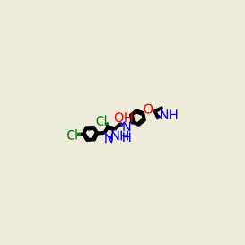 OC(Nc1ccc(OC2CNC2)cc1)c1[nH]nc(-c2ccc(Cl)cc2)c1Cl